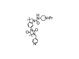 CC(C)N1CCC(NC(=O)N2CC(C)(C)c3ccc(N4C(=O)N(Cc5ccncc5)C(C)(C)C4=O)cc32)CC1